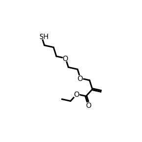 C=C(COCCOCCCS)C(=O)OCC